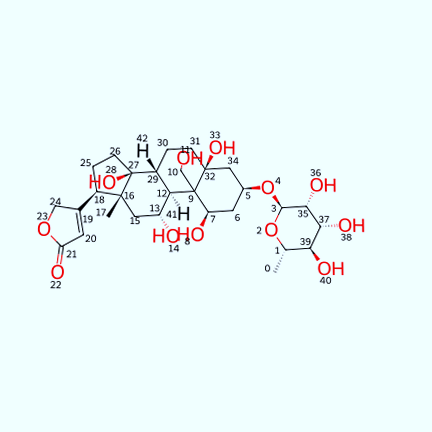 C[C@@H]1O[C@@H](O[C@H]2C[C@@H](O)C3(CO)[C@H]4[C@H](O)C[C@]5(C)[C@@H](C6=CC(=O)OC6)CC[C@]5(O)[C@@H]4CC[C@]3(O)C2)[C@H](O)[C@H](O)[C@H]1O